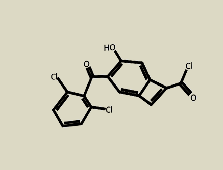 O=C(Cl)C1=Cc2cc(C(=O)c3c(Cl)cccc3Cl)c(O)cc21